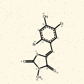 CCc1cc(/C=C2\SC(=O)N(C)C2=O)c(Br)cc1O